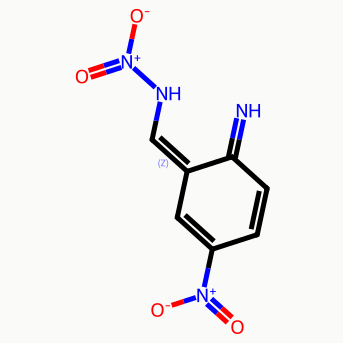 N=C1C=CC([N+](=O)[O-])=C/C1=C/N[N+](=O)[O-]